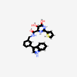 O=C(NCc1cccc(-c2c[nH]c3ccccc23)c1)c1nc(-c2cccs2)nc(O)c1O